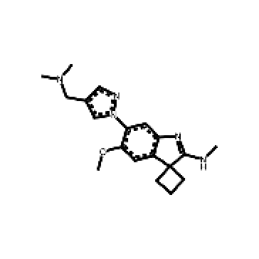 CNC1=Nc2cc(-n3cc(CN(C)C)cn3)c(OC)cc2C12CCC2